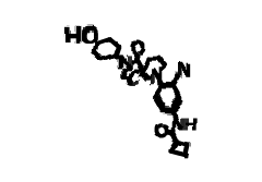 N#Cc1cc(NC(=O)C2CCC2)ccc1N1CCCC2(CCN(C3CCC(O)CC3)C2=O)C1